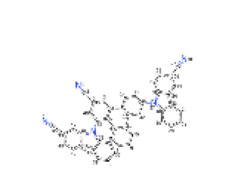 N#Cc1ccc(-c2ccccc2-c2cccc(-n3c4ccccc4c4cc(C#N)ccc43)c2)c(-n2c3ccccc3c3ccc(C#N)cc32)c1